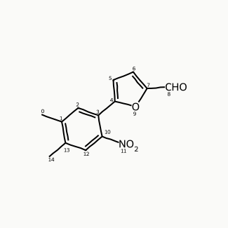 Cc1cc(-c2ccc(C=O)o2)c([N+](=O)[O-])cc1C